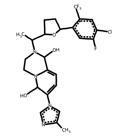 Cc1cn(C2=CC=C3C(O)N(C(C)C4CCC(c5cc(F)c(Cl)cc5C(F)(F)F)O4)CCN3C2O)cn1